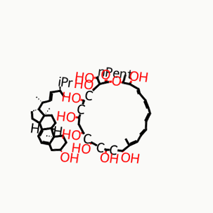 CC(C)[C@@H](C)/C=C/[C@@H](C)[C@H]1CC[C@H]2C3=CC=C4C[C@@H](O)CC[C@]4(C)[C@H]3CC[C@]12C.CCCCCC(O)C1C(=O)OC(C)C(O)/C=C/C=C/C=C/C=C/C=C(\C)C(O)CC(O)CC(O)CC(O)CC(O)CC(O)CC1O